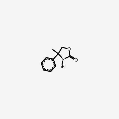 CC(C)N1C(=O)OCC1(C)c1ccccc1